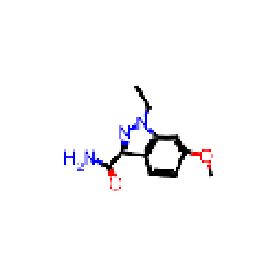 CCn1nc(C(N)=O)c2ccc(OC)cc21